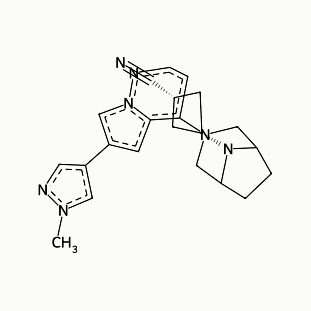 Cn1cc(-c2cc3c(N4CC5CCC(C4)N5[C@H]4C[C@@H](C#N)C4)ccnn3c2)cn1